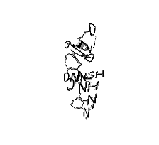 COc1ccc(S(=O)(=O)N2CCOCC2)cc1N(S)C(=O)Nc1cccc2c1ncn2C